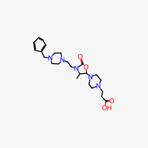 CC1C(N2CCN(CCC(=O)O)CC2)OC(=O)N1CCN1CCN(Cc2ccccc2)CC1